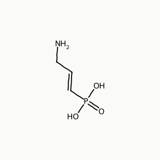 NCC=CP(=O)(O)O